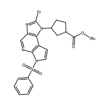 CCc1nc2cnc3c(ccn3S(=O)(=O)c3ccccc3)c2n1C1CCN(C(=O)OC(C)(C)C)C1